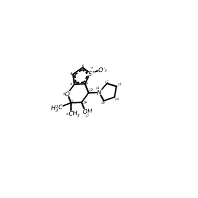 CC1(C)Oc2cc[s+]([O-])c2C(N2CCCC2)C1O